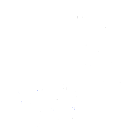 Cc1n[nH]c(C(=O)N2CCN(C(=O)c3cc4nc(C5CCC(C)(C)CC5)cc(C(C)(C)C)c4o3)C(C)(C)C2)n1